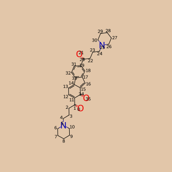 O=C(CCCN1CCCCC1)C1=CC=C2C(=Cc3cc(C(=O)CCCN4CCCCC4)ccc32)C1=O